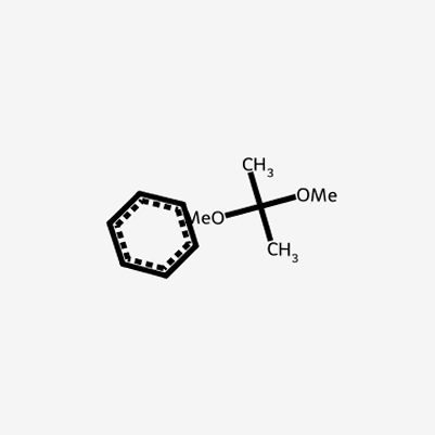 COC(C)(C)OC.c1ccccc1